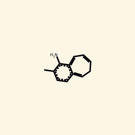 Cc1ccc2c(c1N)=CC=CCC=2